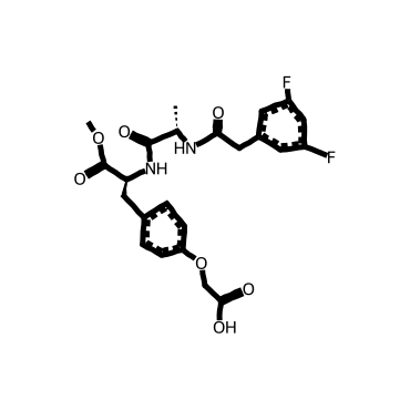 COC(=O)[C@H](Cc1ccc(OCC(=O)O)cc1)NC(=O)[C@H](C)NC(=O)Cc1cc(F)cc(F)c1